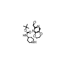 CC(C)(C)OC(=O)NC1CCNCC1.O=Cc1ncc2c(n1)OCCO2